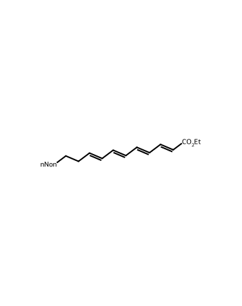 CCCCCCCCCCC/C=C/C=C/C=C/C=C/C(=O)OCC